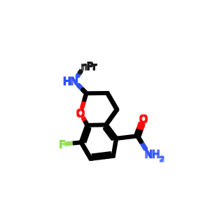 CCCNC1CCc2c(C(N)=O)ccc(F)c2O1